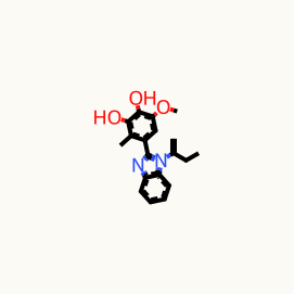 C=C(CC)n1c(-c2cc(OC)c(O)c(O)c2C)nc2ccccc21